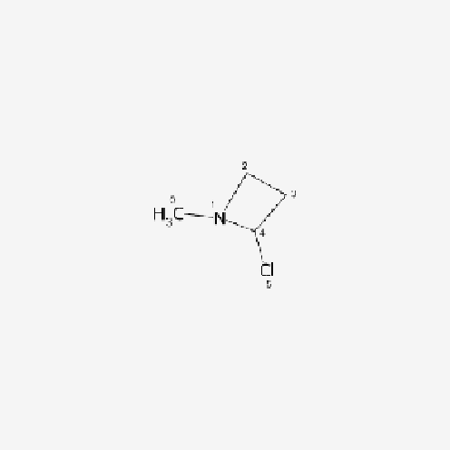 CN1CCC1Cl